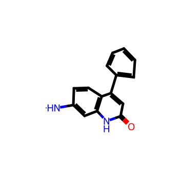 [NH]c1ccc2c(-c3ccccc3)cc(=O)[nH]c2c1